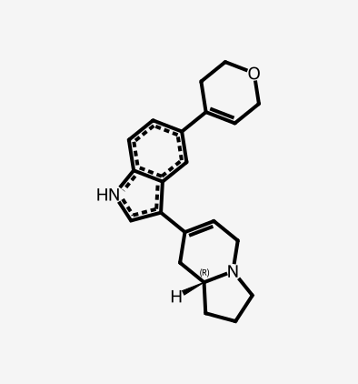 C1=C(c2ccc3[nH]cc(C4=CCN5CCC[C@@H]5C4)c3c2)CCOC1